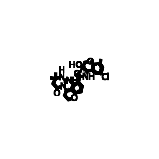 Cc1cc(Cl)cc2c1OC[C@@](C)(O)[C@@H]2NC(=O)c1ccc2c(c1)[C@H](N1C(=N)NC(C)(C)CC1=O)CCO2